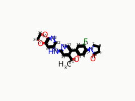 CC1Oc2cc(N3CCCC3=O)c(F)cc2-c2cnc(Nc3cnc4c(c3)OCCO4)cc21